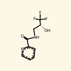 O=C(NC[C@@H](O)C(F)(F)F)c1ccccn1